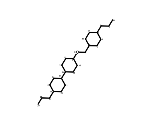 CCCC1CCC(COC2CCC(C3CCC(CCC)CC3)CC2)CC1